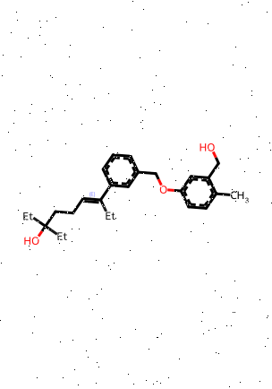 CC/C(=C\CCC(O)(CC)CC)c1cccc(COc2ccc(C)c(CO)c2)c1